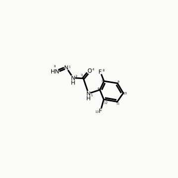 N=NNC(=O)Nc1c(F)cccc1F